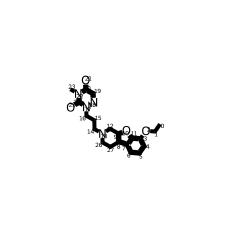 CCOc1cccc2c3c(oc12)CN(CCCn1ncc(=O)n(C)c1=O)CC3